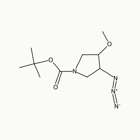 COC1CN(C(=O)OC(C)(C)C)CC1N=[N+]=[N-]